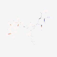 Nc1nc(=O)n([C@H]2C[C@H](O)[C@@H](COP(=O)([O-])OP(=O)([O-])OP(=O)([O-])[O-])O2)cc1CO.[Na+].[Na+].[Na+].[Na+]